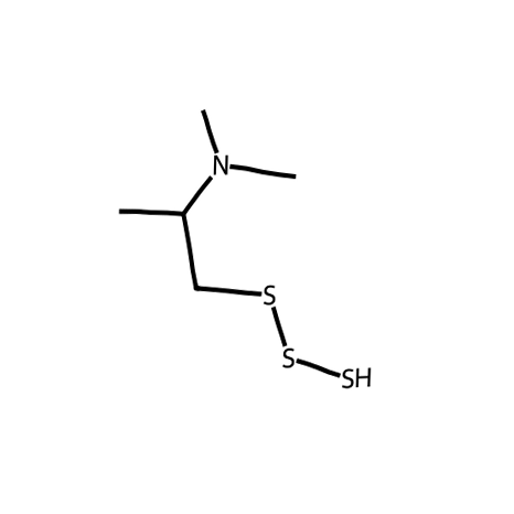 CC(CSSS)N(C)C